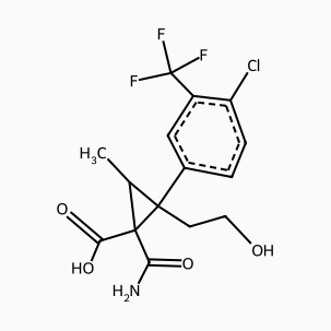 CC1C(C(N)=O)(C(=O)O)C1(CCO)c1ccc(Cl)c(C(F)(F)F)c1